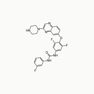 O=C(Nc1cccc(F)c1)Nc1cc(F)c(Oc2ccc3ncc(N4CCNCC4)nc3c2)c(F)c1